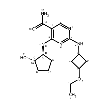 CCOC1CC(Nc2ncc(C(N)=O)c(N[C@H]3CCC[C@@H]3O)n2)C1